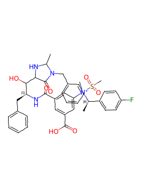 CC1NC(C(O)[C@H](Cc2ccccc2)NC(=O)c2cc(C(=O)O)cc([N+](C)([C@H](C)c3ccc(F)cc3)S(C)(=O)=O)c2)C(=O)N1Cc1ccccc1